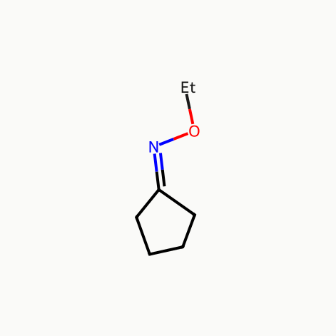 [CH2]CON=C1CCCC1